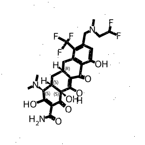 CN(Cc1cc(O)c2c(c1C(F)(F)F)C[C@H]1C[C@H]3[C@H](N(C)C)C(O)=C(C(N)=O)C(=O)[C@@]3(O)C(O)=C1C2=O)CC(F)F